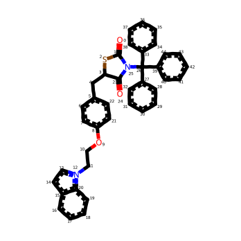 O=C1SC(Cc2ccc(OCCn3ccc4ccccc43)cc2)C(=O)N1C(c1ccccc1)(c1ccccc1)c1ccccc1